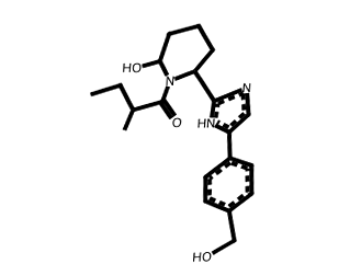 CCC(C)C(=O)N1C(O)CCCC1c1ncc(-c2ccc(CO)cc2)[nH]1